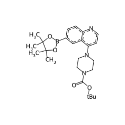 CC(C)(C)OC(=O)N1CCN(c2ccnc3ccc(B4OC(C)(C)C(C)(C)O4)cc23)CC1